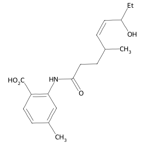 CCC(O)/C=C\C(C)CCC(=O)Nc1cc(C)ccc1C(=O)O